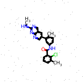 CNc1ncc2cc(-c3cc(NC(=O)c4cccc(C)c4Cl)ccc3C)cnc2n1